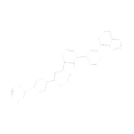 c1ccc(-c2ccc(-c3ccc4sc5c(-c6cccc(-c7cccc8occc78)c6)cccc5c4c3)cc2)cc1